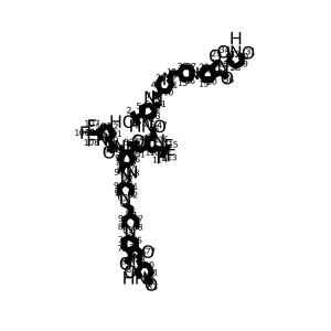 CC(C)(O)c1cc2nn(C3CCN(CC4CCN(c5ccc6c(c5)C(=O)N(C5CCC(=O)NC5=O)C6=O)CC4)CC3)cc2cc1NC(=O)c1cc(CC(C)(O)c2cc3nn(C4CCN(CCC5CCN(c6ccc7c(c6)C(=O)N(C6CCC(=O)NC6=O)C7=O)CC5)CC4)cc3cc2NC(=O)c2cccc(C(F)(F)F)n2)cc(C(F)(F)F)n1